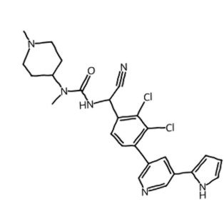 CN1CCC(N(C)C(=O)NC(C#N)c2ccc(-c3cncc(-c4ccc[nH]4)c3)c(Cl)c2Cl)CC1